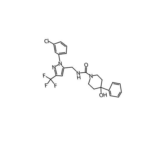 O=C(NCc1cc(C(F)(F)F)nn1-c1cccc(Cl)c1)N1CCC(O)(c2ccccc2)CC1